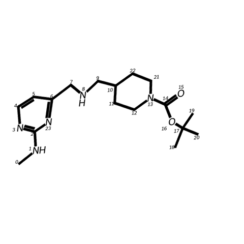 CNc1nccc(CNCC2CCN(C(=O)OC(C)(C)C)CC2)n1